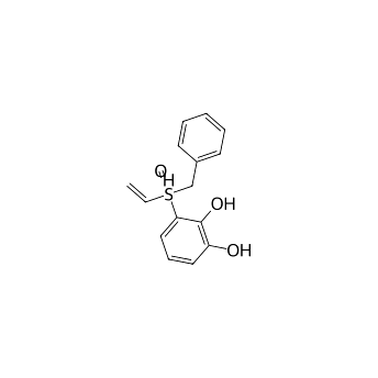 C=C[SH](=O)(Cc1ccccc1)c1cccc(O)c1O